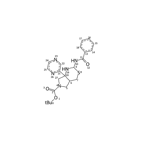 CC(C)(C)OC(=O)N1CC2CSC(NC(=O)c3ccccc3)NC2(c2cnccn2)C1